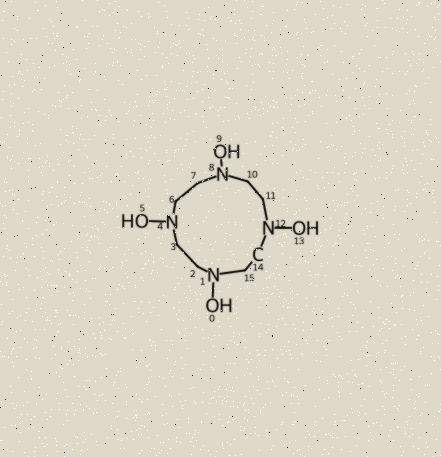 ON1CCN(O)CCN(O)CCN(O)CC1